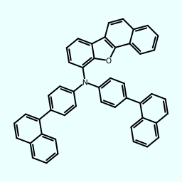 c1ccc2c(-c3ccc(N(c4ccc(-c5cccc6ccccc56)cc4)c4cccc5c4oc4c6ccccc6ccc54)cc3)cccc2c1